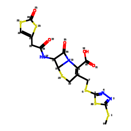 CSc1nnc(SCC2=C(C(=O)O)N3C(=O)C(NC(=O)Cc4csc(=O)s4)C3SC2)s1